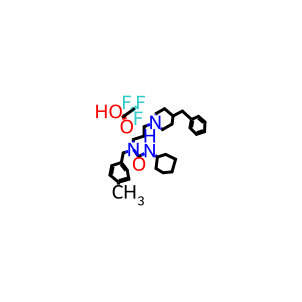 Cc1ccc(CN(CCCN2CCC(Cc3ccccc3)CC2)C(=O)NC2CCCCC2)cc1.O=C(O)C(F)(F)F